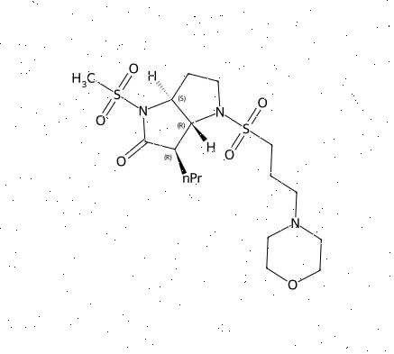 CCC[C@H]1C(=O)N(S(C)(=O)=O)[C@H]2CCN(S(=O)(=O)CCCN3CCOCC3)[C@H]12